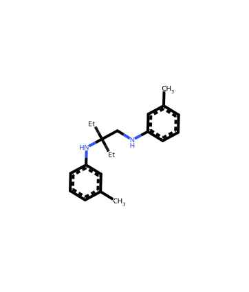 CCC(CC)(CNc1cccc(C)c1)Nc1cccc(C)c1